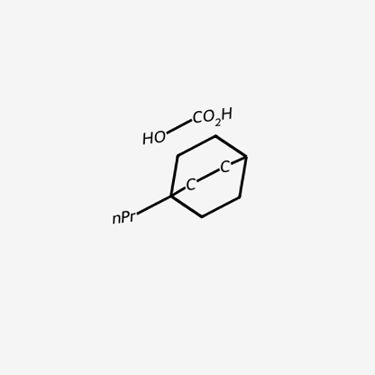 CCCC12CCC(CC1)CC2.O=C(O)O